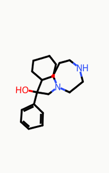 OC(CN1CCCNCC1)(c1ccccc1)C1CCCCC1